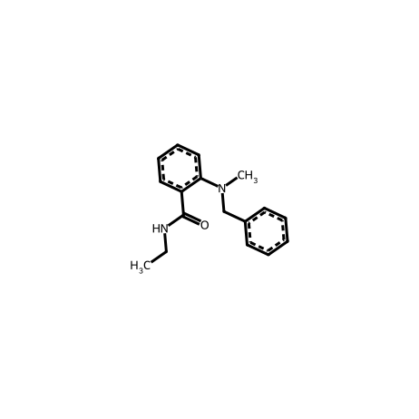 CCNC(=O)c1ccccc1N(C)Cc1ccccc1